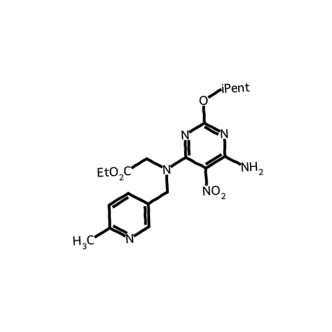 CCCC(C)Oc1nc(N)c([N+](=O)[O-])c(N(CC(=O)OCC)Cc2ccc(C)nc2)n1